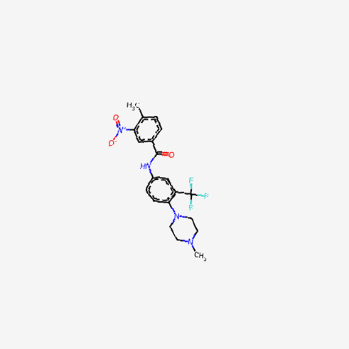 Cc1ccc(C(=O)Nc2ccc(N3CCN(C)CC3)c(C(F)(F)F)c2)cc1[N+](=O)[O-]